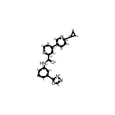 O=C(Nc1cccc(-c2nnco2)c1)c1cc(-c2ccc(C3CC3)nc2)ccn1